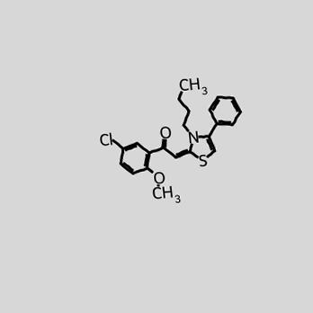 CCCCN1C(=CC(=O)c2cc(Cl)ccc2OC)SC=C1c1ccccc1